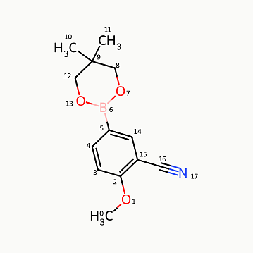 COc1ccc(B2OCC(C)(C)CO2)cc1C#N